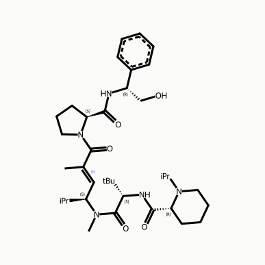 C/C(=C\[C@H](C(C)C)N(C)C(=O)[C@@H](NC(=O)[C@H]1CCCCN1C(C)C)C(C)(C)C)C(=O)N1CCC[C@H]1C(=O)N[C@@H](CO)c1ccccc1